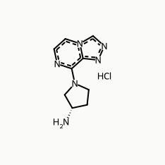 Cl.N[C@H]1CCN(c2nccn3cnnc23)C1